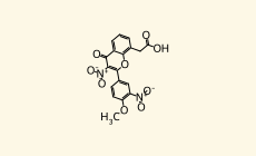 COc1ccc(-c2oc3c(CC(=O)O)cccc3c(=O)c2[N+](=O)[O-])cc1[N+](=O)[O-]